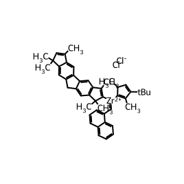 CC1=CC(C)(C)c2cc3c(cc21)-c1cc2c(cc1C3)C(C)(C)[C]([Zr+2](=[CH]c1cccc3ccccc13)[C]1=C(C)C(C(C)(C)C)=CC1C)=C2C.[Cl-].[Cl-]